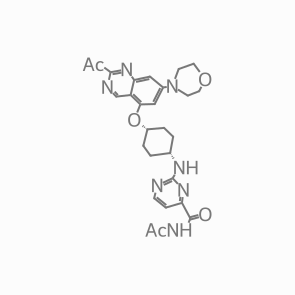 CC(=O)NC(=O)c1ccnc(N[C@H]2CC[C@@H](Oc3cc(N4CCOCC4)cc4nc(C(C)=O)ncc34)CC2)n1